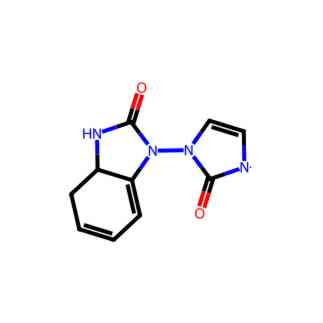 O=C1[N]C=CN1N1C(=O)NC2CC=CC=C21